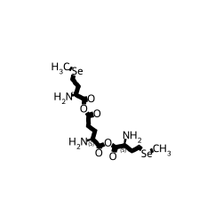 C[Se]CC[C@H](N)C(=O)OC(=O)CC[C@H](N)C(=O)OC(=O)[C@@H](N)CC[Se]C